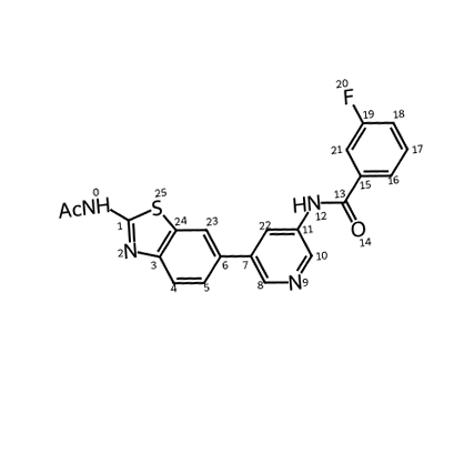 CC(=O)Nc1nc2ccc(-c3cncc(NC(=O)c4cccc(F)c4)c3)cc2s1